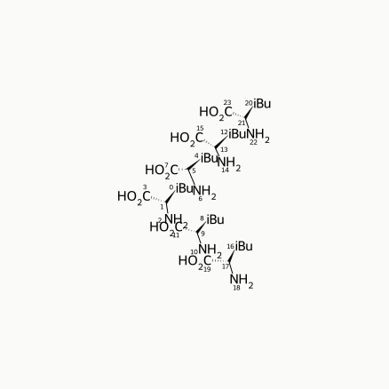 CC[C@H](C)[C@H](N)C(=O)O.CC[C@H](C)[C@H](N)C(=O)O.CC[C@H](C)[C@H](N)C(=O)O.CC[C@H](C)[C@H](N)C(=O)O.CC[C@H](C)[C@H](N)C(=O)O.CC[C@H](C)[C@H](N)C(=O)O